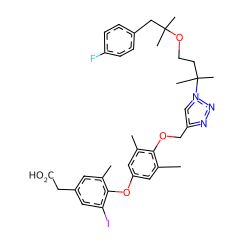 Cc1cc(Oc2c(C)cc(CC(=O)O)cc2I)cc(C)c1OCc1cn(C(C)(C)CCOC(C)(C)Cc2ccc(F)cc2)nn1